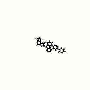 O=C(NC1c2ccccc2-c2c(-c3ccc(N4CCNCC4)nc3)cccc21)c1ccnc2[nH]ccc12